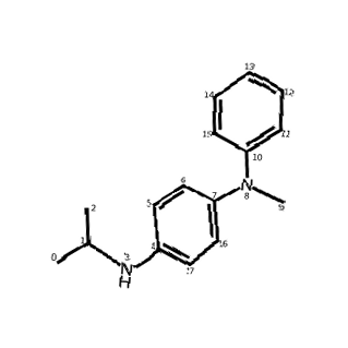 CC(C)Nc1ccc(N(C)c2ccccc2)cc1